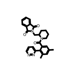 Cc1cc(C)c(-c2cccnn2)c(C(=O)N2CCCCC2CN2C(=O)c3ccccc3C2=O)c1